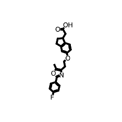 Cc1oc(-c2ccc(F)cc2)nc1CCOc1ccc2c(c1)CCC2CC(=O)O